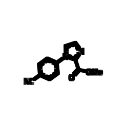 COC(=O)c1nccn1-c1ccc(C#N)cc1